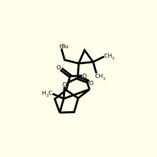 CC(C)(C)CC1(C(=O)OC2(C)C3CC4C(=O)OC2C4C3)CC1(C)C